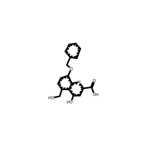 O=C(O)c1cc(O)c2c(CO)ccc(OCc3ccccc3)c2n1